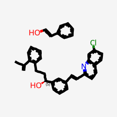 C=C(C)c1ccccc1CC[C@H](O)c1cccc(C=Cc2ccc3ccc(Cl)cc3n2)c1.OC=Cc1ccccc1